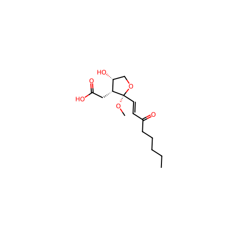 CCCCCC(=O)C=C[C@]1(OC)OC[C@@H](O)[C@H]1CC(=O)O